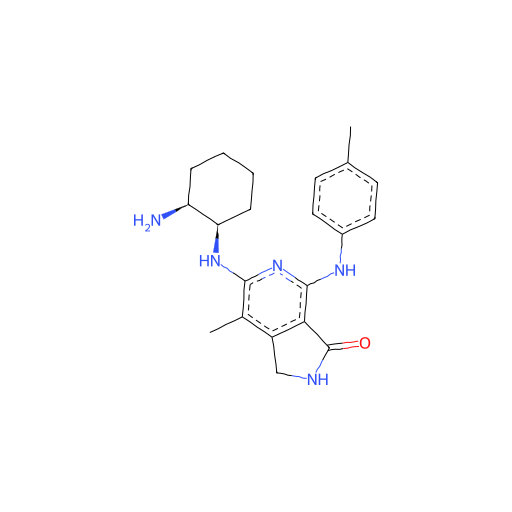 Cc1ccc(Nc2nc(N[C@@H]3CCCC[C@@H]3N)c(C)c3c2C(=O)NC3)cc1